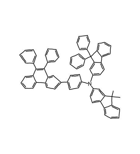 CC1(C)c2ccccc2-c2ccc(N(c3ccc(-c4ccc5c(c4)c(-c4ccccc4)c(-c4ccccc4)c4ccccc45)cc3)c3ccc4c(c3)C(c3ccccc3)(c3ccccc3)c3ccccc3-4)cc21